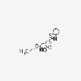 CCCCOC(=O)CC(CSc1nc2ccccc2s1)C(=O)O